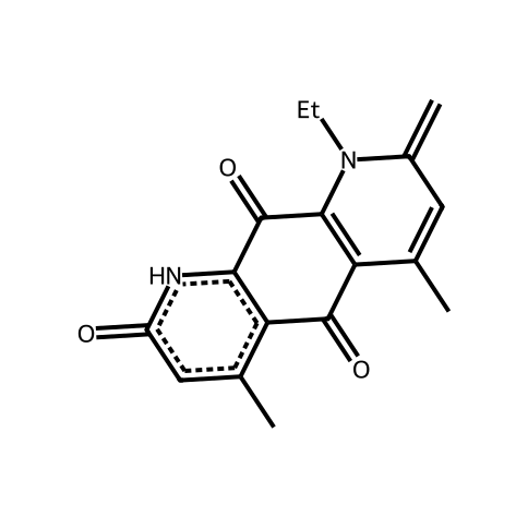 C=C1C=C(C)C2=C(C(=O)c3[nH]c(=O)cc(C)c3C2=O)N1CC